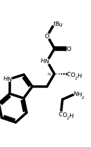 CC(C)(C)OC(=O)N[C@@H](Cc1c[nH]c2ccccc12)C(=O)O.NCC(=O)O